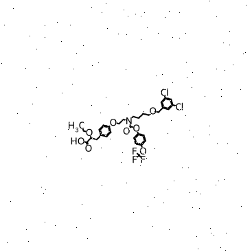 CCOC(Cc1ccc(OCCN(CCCCOCc2cc(Cl)cc(Cl)c2)C(=O)Oc2ccc(OC(F)(F)F)cc2)cc1)C(=O)O